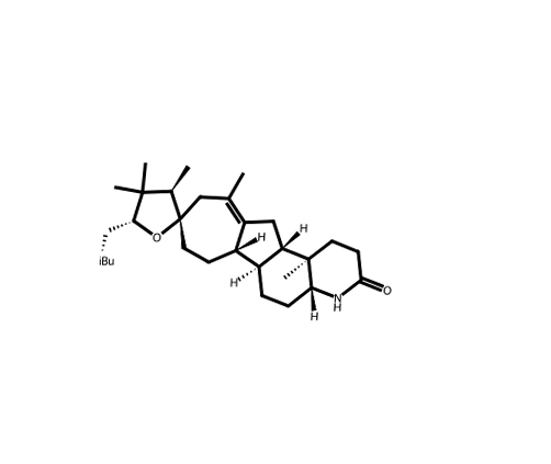 CC[C@@H](C)C[C@H]1O[C@]2(CC[C@@H]3C(=C(C)C2)C[C@H]2[C@H]3CC[C@H]3NC(=O)CC[C@@]32C)[C@H](C)C1(C)C